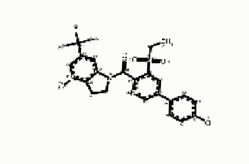 CCS(=O)(=O)c1cc(-c2ccc(Cl)cc2)cnc1C(=O)N1CCc2c1cc(C(F)(F)F)c[n+]2[O-]